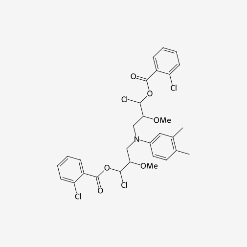 COC(CN(CC(OC)C(Cl)OC(=O)c1ccccc1Cl)c1ccc(C)c(C)c1)C(Cl)OC(=O)c1ccccc1Cl